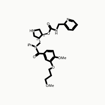 COCCCOc1cc(C(=O)N(C[C@@H]2CNC[C@H]2OC(=O)NCc2ccccn2)C(C)C)ccc1OC